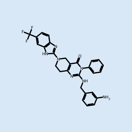 Nc1cccc(CNc2nc3c(c(=O)n2-c2ccccc2)CN(c2nc4ccc(C(F)(F)F)cc4[nH]2)CC3)c1